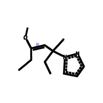 CC/C(=C\C(C)(CC)n1cccn1)OC